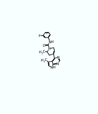 Cc1c[nH]c2ncnc(C3=CCN(C(=O)Nc4cccc(F)c4)C(C)C3)c12